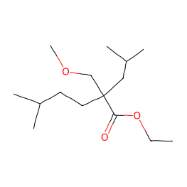 CCOC(=O)C(CCC(C)C)(COC)CC(C)C